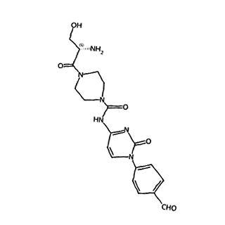 N[C@@H](CO)C(=O)N1CCN(C(=O)Nc2ccn(-c3ccc(C=O)cc3)c(=O)n2)CC1